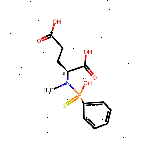 CN([C@@H](CCC(=O)O)C(=O)O)P(O)(=S)c1ccccc1